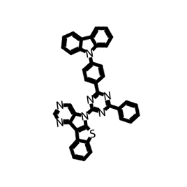 c1ccc(-c2nc(-c3ccc(-n4c5ccccc5c5ccccc54)cc3)nc(-n3c4cncnc4c4c5ccccc5sc43)n2)cc1